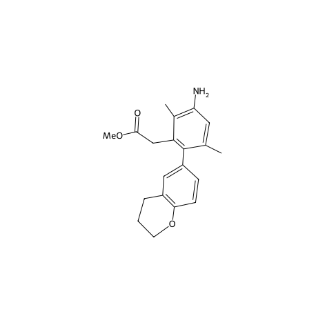 COC(=O)Cc1c(C)c(N)cc(C)c1-c1ccc2c(c1)CCCO2